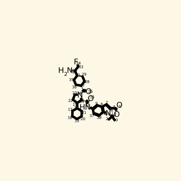 CC1(C)OC(=O)c2cc3cc(NC(=O)[C@@H]4C(C5CCCCC5)CCN4C(=O)[C@H]4CC[C@H]([C@H](N)CF)CC4)ccc3n21